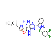 CC(C)(Cc1csc(C2(C)C(=O)Nc3nc(-c4nn(Cc5c(F)ccc(F)c5F)c5ccccc45)nc(N)c32)n1)C(=O)O